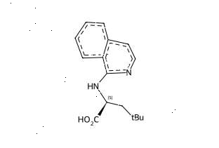 CC(C)(C)C[C@H](Nc1nccc2ccccc12)C(=O)O